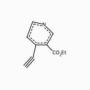 C#Cc1ccncc1C(=O)OCC